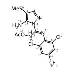 CSc1cnn(C(=Nc2c(Cl)cc(C(F)(F)F)cc2Cl)NOC(C)=O)c1N